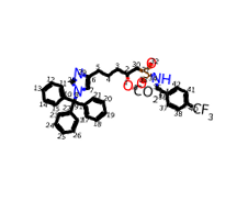 O=C(O)OC(CCCc1cn(C(c2ccccc2)(c2ccccc2)c2ccccc2)cn1)CS(=O)(=O)NCc1ccc(C(F)(F)F)cc1